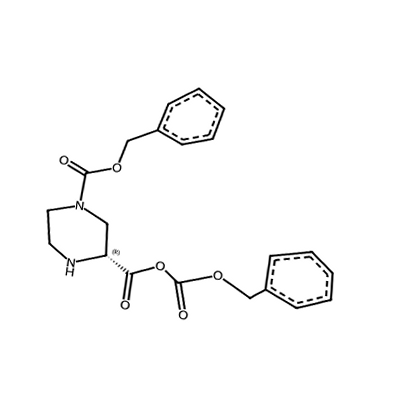 O=C(OCc1ccccc1)OC(=O)[C@H]1CN(C(=O)OCc2ccccc2)CCN1